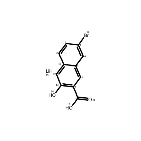 O=C(O)c1cc2cc(Br)ccc2cc1O.[LiH]